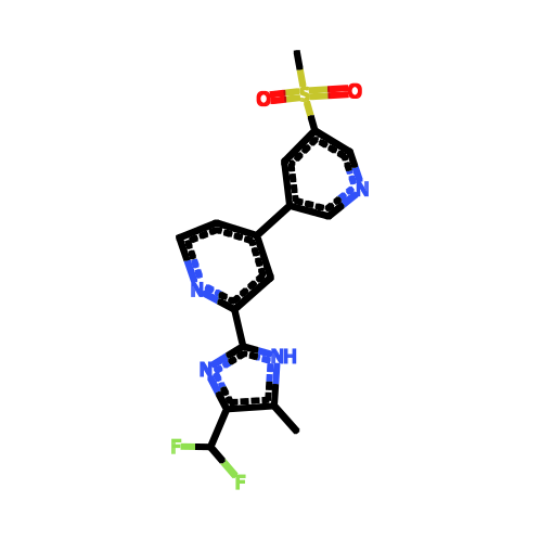 Cc1[nH]c(-c2cc(-c3cncc(S(C)(=O)=O)c3)ccn2)nc1C(F)F